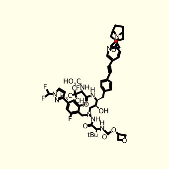 CC(C)(C)[C@H](NC(=O)OC1COC1)C(=O)NN(Cc1c(F)cc(-c2ccn(C(F)F)n2)cc1F)C[C@H](O)[C@H](Cc1ccc(C#Cc2ccc(N3CC4CCC(C3)N4C3COC3)nc2)cc1)NC(=O)[C@@H](NC(=O)O)C(C)(C)C(F)(F)F